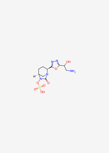 NCC(O)c1nnc([C@@H]2CC[C@H]3CN2C(=O)N3OS(=O)(=O)O)o1